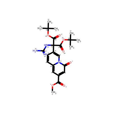 COC(=O)c1cc(=O)n2cc(C(NC(=N)N)(C(=O)OC(C)(C)C)C(=O)OC(C)(C)C)ccc2c1